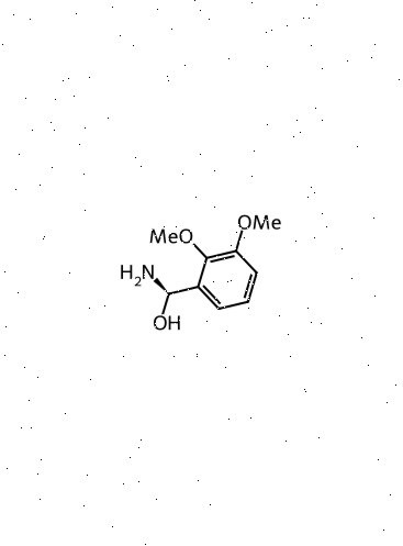 COc1cccc([C@H](N)O)c1OC